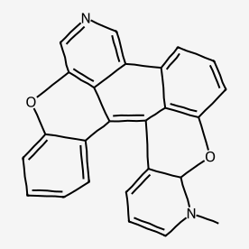 CN1C=CC=C2c3c4c5c(cncc5c5cccc(c35)OC21)Oc1ccccc1-4